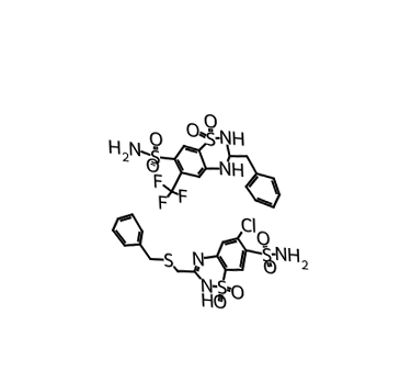 NS(=O)(=O)c1cc2c(cc1C(F)(F)F)NC(Cc1ccccc1)NS2(=O)=O.NS(=O)(=O)c1cc2c(cc1Cl)N=C(CSCc1ccccc1)NS2(=O)=O